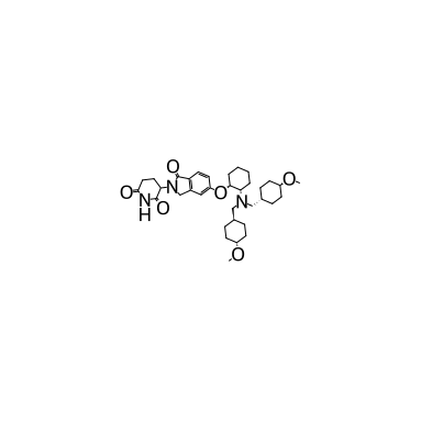 CO[C@H]1CC[C@H](CN(C[C@H]2CC[C@H](OC)CC2)[C@H]2CCCC[C@@H]2Oc2ccc3c(c2)CN(C2CCC(=O)NC2=O)C3=O)CC1